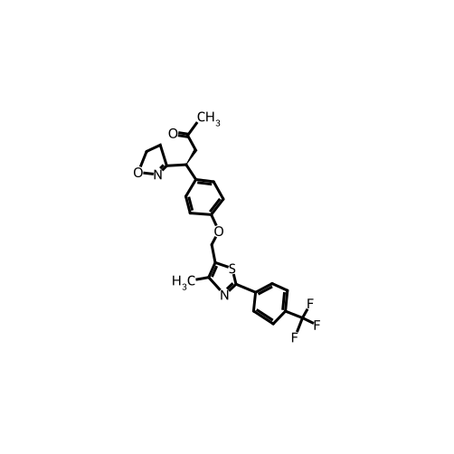 CC(=O)C[C@H](C1=NOCC1)c1ccc(OCc2sc(-c3ccc(C(F)(F)F)cc3)nc2C)cc1